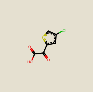 O=C(O)C(=O)c1cc(Cl)cs1